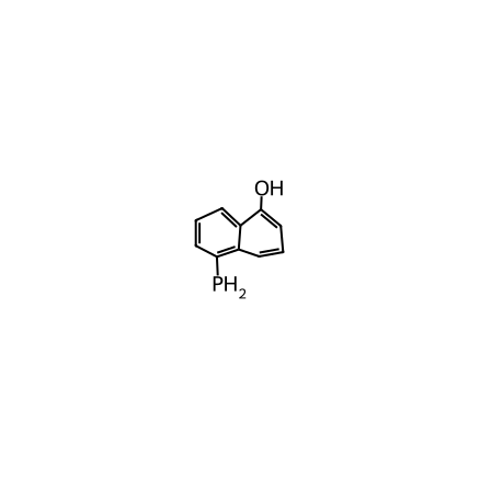 Oc1cccc2c(P)cccc12